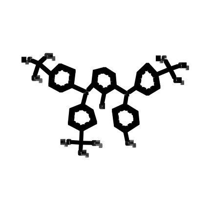 Cc1ccc(N(c2ccc(C(C)(C)C)cc2)c2cccc(N(c3ccc(C(C)(C)C)cc3)c3ccc(C(C)(C)C)cc3)c2Cl)cc1